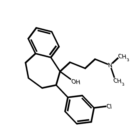 CN(C)CCCC1(O)c2ccccc2CCCC1c1cccc(Cl)c1